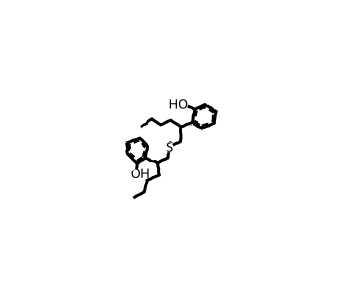 CCCCC(CSCC(CCCC)c1ccccc1O)c1ccccc1O